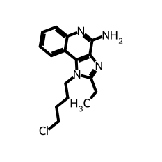 CCc1nc2c(N)nc3ccccc3c2n1CCCCCl